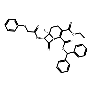 CCOC(=O)C1=C(C(=O)OC(c2ccccc2)c2ccccc2)N2C(=O)[C@@H](NC(=O)COc3ccccc3)[C@H]2CC1